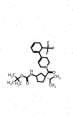 CC(C)[C@]1(C(=O)N2CC=C(C3=CC=CCC3C(F)(F)F)CC2)CCC(NC(=O)OC(C)(C)C)C1